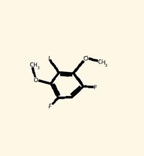 COc1c(F)cc(F)c(OC)c1I